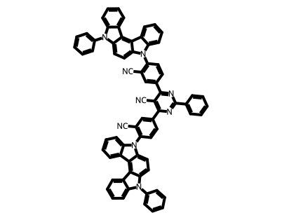 N#Cc1cc(-c2nc(-c3ccccc3)nc(-c3ccc(-n4c5ccccc5c5c6c7ccccc7n(-c7ccccc7)c6ccc54)c(C#N)c3)c2C#N)ccc1-n1c2ccccc2c2c3c4ccccc4n(-c4ccccc4)c3ccc21